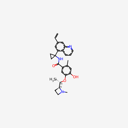 C=Cc1cc(C2(NC(=O)c3cc(O[C@@H]([SiH3])[C@@H]4CCN4C)c(O)cc3C)CC2)c2cccnc2c1